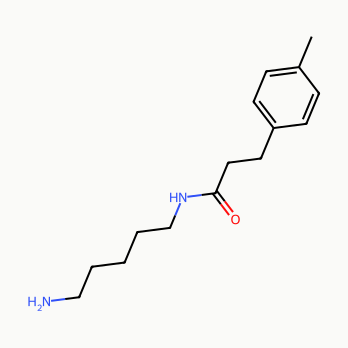 Cc1ccc(CCC(=O)NCCCCCN)cc1